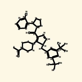 CC(=O)N1CCN(c2c(C(=O)N3CCCC3c3ccccc3Cl)nnn2Cc2cc(C(F)(F)F)cc(C(F)(F)F)c2)CC1